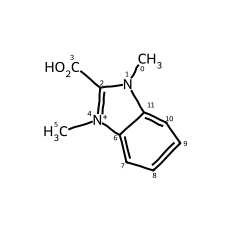 Cn1c(C(=O)O)[n+](C)c2ccccc21